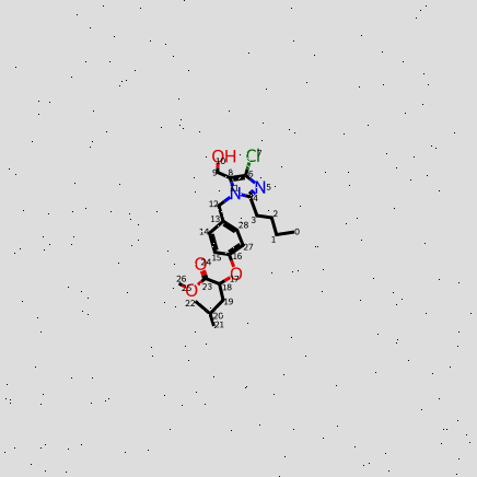 CCCCc1nc(Cl)c(CO)n1Cc1ccc(OC(CC(C)C)C(=O)OC)cc1